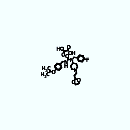 CC(C)Oc1ccc(CNC(=O)N(Cc2ccc(F)cc2)C2CCN(CCC3OCCO3)CC2)cc1.O=C(O)C(=O)O